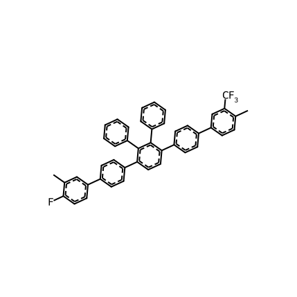 Cc1cc(-c2ccc(-c3ccc(-c4ccc(-c5ccc(C)c(C(F)(F)F)c5)cc4)c(-c4ccccc4)c3-c3ccccc3)cc2)ccc1F